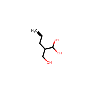 C=CCC(CO)C(O)O